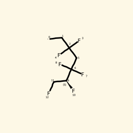 [CH2]CC(F)(F)CC(F)(F)[C@@H](F)CF